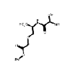 CCCC(CCC)C(=O)N[C@@H](CSCC(=O)OC(C)(C)C)C(=O)O